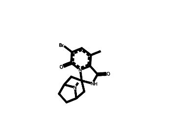 Cc1cc(Br)c(=O)n2c1C(=O)NC21CC2CCC(C1)N2C